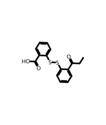 CCC(=O)c1ccccc1SSc1ccccc1C(=O)O